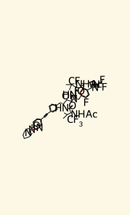 CC(=O)NC(C(=O)N[C@@H](Cc1ccc(C#Cc2ccc(N3CC4CCC(C3)N4C3COC3)nc2)cc1)[C@@H](O)CN(Cc1c(F)cc(-c2ccn(C(F)F)n2)cc1F)NC(=O)[C@@H](NC(C)=O)C(C)(C)C(F)(F)F)C(C)(C)C(F)(F)F